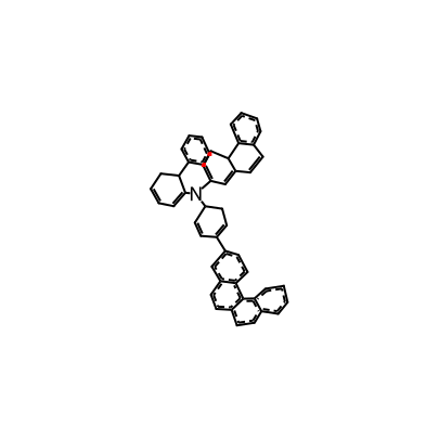 C1=CCC(c2ccccc2)C(N(C2=CCC3C(=C2)C=Cc2ccccc23)C2C=CC(c3ccc4c(ccc5ccc6ccccc6c54)c3)=CC2)=C1